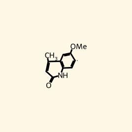 COc1[c]cc2[nH]c(=O)cc(C)c2c1